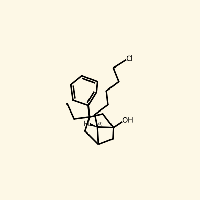 CCC1(c2ccccc2)CC2CC(O)(C1)[C@H]2CCCCCCl